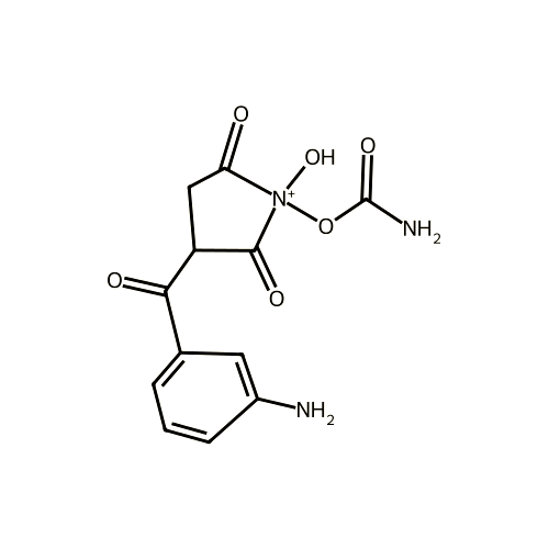 NC(=O)O[N+]1(O)C(=O)CC(C(=O)c2cccc(N)c2)C1=O